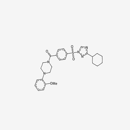 COc1ccccc1N1CCN(C(=O)c2ccc(S(=O)(=O)n3cnc(C4CCCCC4)n3)cc2)CC1